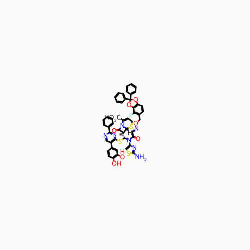 Nc1nc(N(C(=O)C=NOCc2ccc3c(c2F)OC(c2ccccc2)(c2ccccc2)O3)C(Sc2nc(-c3ccccc3)ncc2-c2ccc(O)c(O)c2)[C@@H]2C(=O)N3C(C(=O)O)=CCS[C@H]23)cs1